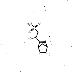 NS(=O)(=O)CC(O)C1=CC2CCC1C2